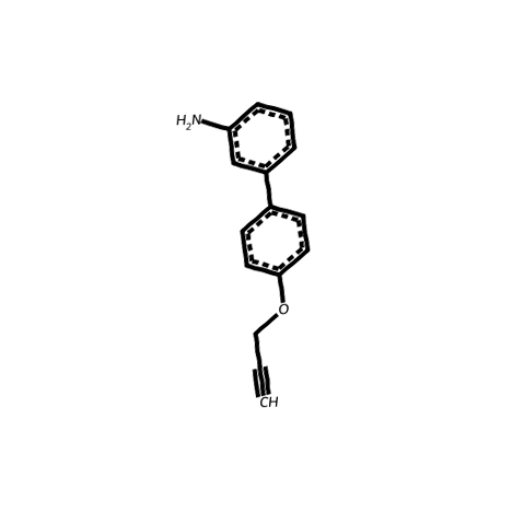 C#CCOc1ccc(-c2cccc(N)c2)cc1